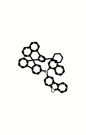 c1ccc2c(c1)-c1ccc(N(c3ccc4oc5ccccc5c4c3)c3cccc4ccccc34)cc1C21c2ccc(C3CCCCC3)cc2-c2cccc3cccc1c23